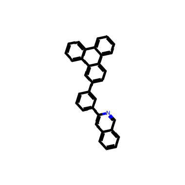 c1cc(-c2ccc3c4ccccc4c4ccccc4c3c2)cc(-c2cc3ccccc3cn2)c1